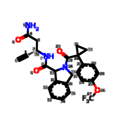 C#C[C@H](CC(N)=O)NC(=O)C1c2ccccc2CN1C(=O)C1(c2ccc(OC(F)(F)F)cc2)CC1